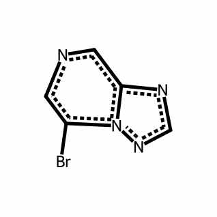 Brc1cncc2ncnn12